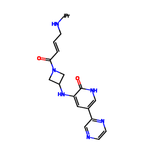 CC(C)NCC=CC(=O)N1CC(Nc2cc(-c3cnccn3)c[nH]c2=O)C1